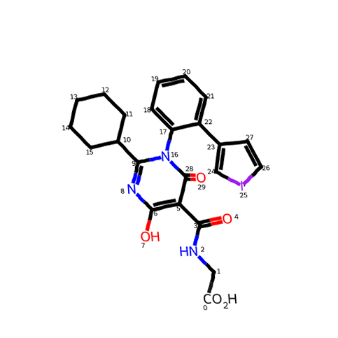 O=C(O)CNC(=O)c1c(O)nc(C2CCCCC2)n(-c2ccccc2C2=C[I]C=C2)c1=O